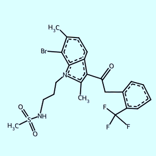 Cc1ccc2c(C(=O)Cc3ccccc3C(F)(F)F)c(C)n(CCCNS(C)(=O)=O)c2c1Br